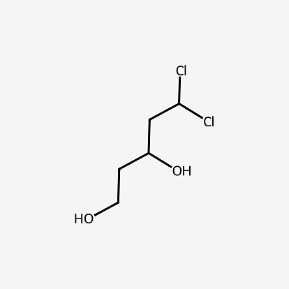 OCCC(O)CC(Cl)Cl